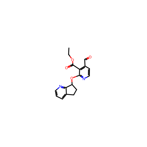 CCOC(=O)c1c(C=O)ccnc1OC1CCc2cccnc21